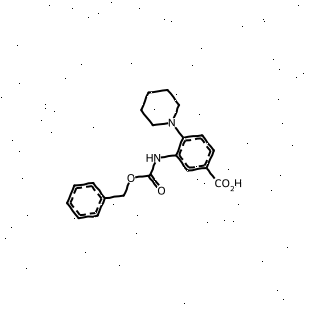 O=C(Nc1cc(C(=O)O)ccc1N1CCCCC1)OCc1ccccc1